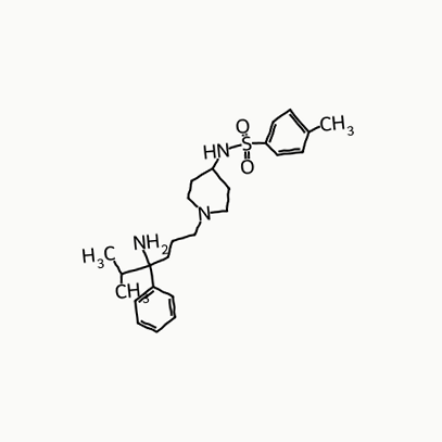 Cc1ccc(S(=O)(=O)NC2CCN(CCCC(N)(c3ccccc3)C(C)C)CC2)cc1